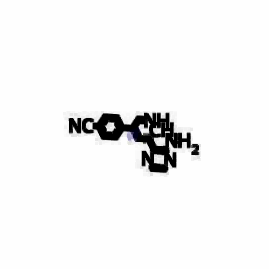 C[C@H](/C=C(\C=N)c1ccc(C#N)cc1)c1nccnc1N